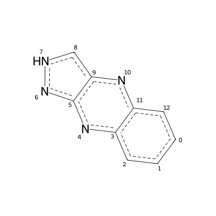 c1ccc2nc3n[nH]cc3nc2c1